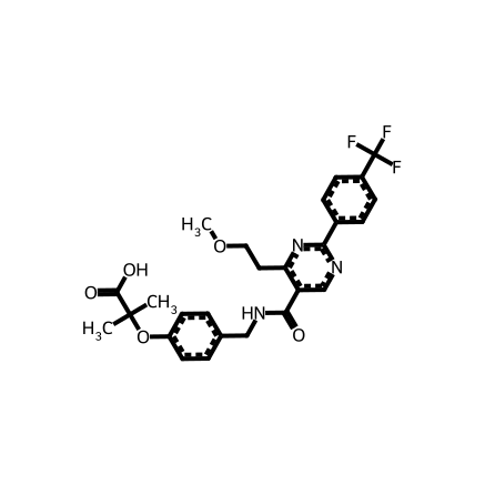 COCCc1nc(-c2ccc(C(F)(F)F)cc2)ncc1C(=O)NCc1ccc(OC(C)(C)C(=O)O)cc1